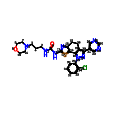 O=C(NCCCN1CCOCC1)Nc1nc2c(s1)-c1c(c(-c3cncnc3)nn1-c1ccccc1Cl)CC2